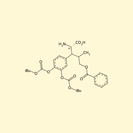 CCC(C)OC(=O)Oc1ccc(C(C(C)COC(=O)c2ccccc2)[C@H](N)C(=O)O)cc1OC(=O)OC(C)CC